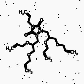 C=CCOCC(Cn1c(=O)n(CC=C)c(=O)n1CC(COCC=C)OCC=C)OCC=C